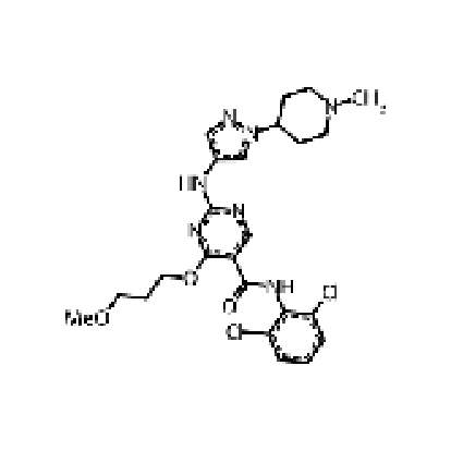 COCCCOc1nc(Nc2cnn(C3CCN(C)CC3)c2)ncc1C(=O)Nc1c(Cl)cccc1Cl